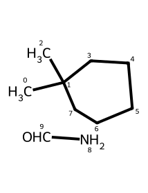 CC1(C)CCCCC1.NC=O